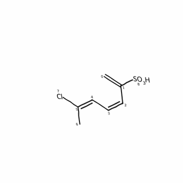 C=C(/C=C\C=C(/C)Cl)S(=O)(=O)O